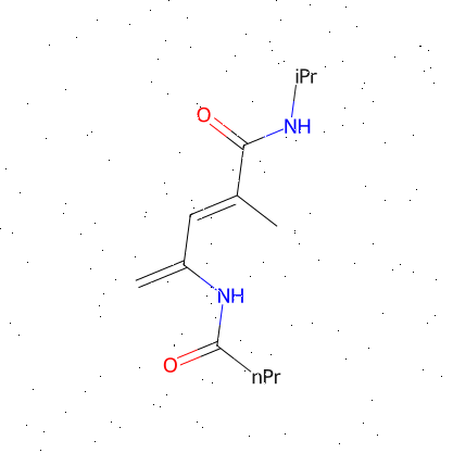 C=C(/C=C(\C)C(=O)NC(C)C)NC(=O)CCC